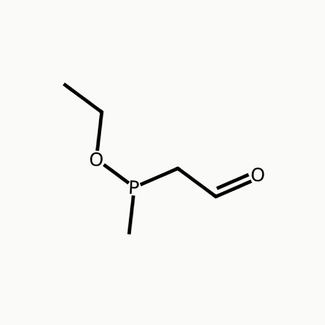 CCOP(C)CC=O